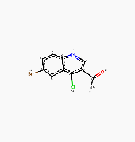 CC(C)C(=O)c1cnc2ccc(Br)cc2c1Cl